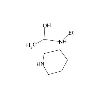 C1CCNCC1.CCNC(C)O